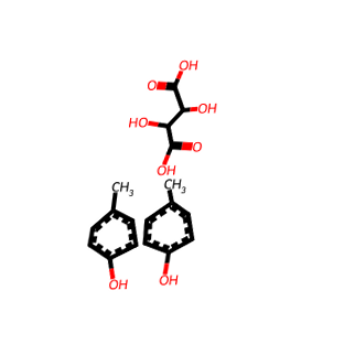 Cc1ccc(O)cc1.Cc1ccc(O)cc1.O=C(O)C(O)C(O)C(=O)O